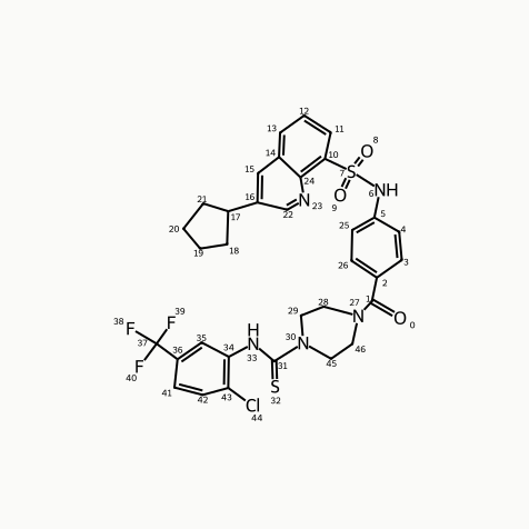 O=C(c1ccc(NS(=O)(=O)c2cccc3cc(C4CCCC4)cnc23)cc1)N1CCN(C(=S)Nc2cc(C(F)(F)F)ccc2Cl)CC1